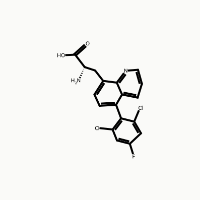 N[C@@H](Cc1ccc(-c2c(Cl)cc(F)cc2Cl)c2cccnc12)C(=O)O